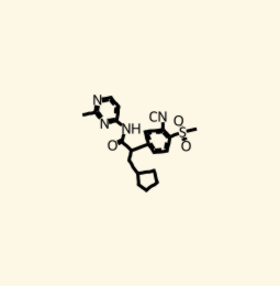 Cc1nccc(NC(=O)C(CC2CCCC2)c2ccc(S(C)(=O)=O)c(C#N)c2)n1